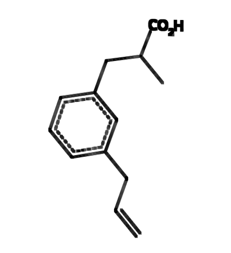 C=CCc1cccc(CC(C)C(=O)O)c1